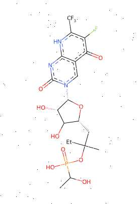 CCC(C)(C[C@H]1O[C@@H](n2cc3c(=O)c(F)c(C(F)(F)F)[nH]c3nc2=O)[C@@H](O)C1O)OP(=O)(O)C(C)O